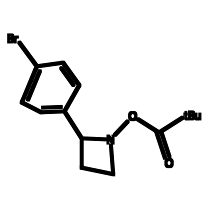 CC(C)(C)C(=O)ON1CCC1c1ccc(Br)cc1